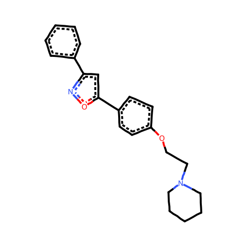 c1ccc(-c2cc(-c3ccc(OCCN4CCCCC4)cc3)on2)cc1